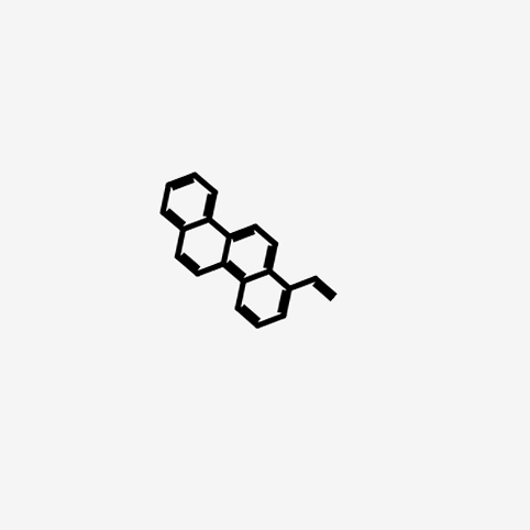 C=Cc1cccc2c1ccc1c3ccccc3ccc21